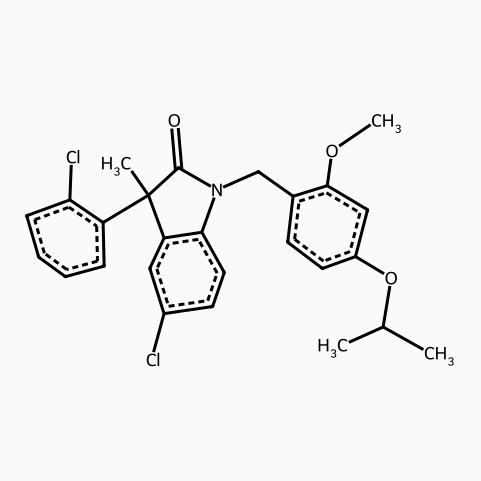 COc1cc(OC(C)C)ccc1CN1C(=O)C(C)(c2ccccc2Cl)c2cc(Cl)ccc21